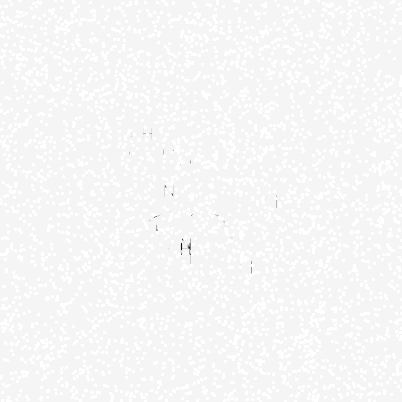 COC(=O)CN1C(=O)C[C@@H](c2cccc(Cl)c2)[C@]2(C(=O)Nc3cc(Cl)ccc32)[C@H]1c1ccccc1C